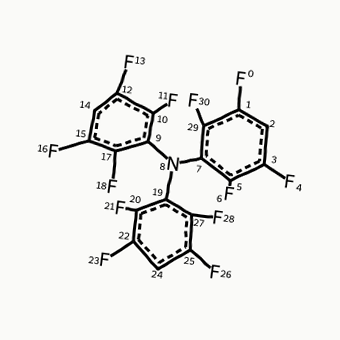 Fc1cc(F)c(F)c(N(c2c(F)c(F)cc(F)c2F)c2c(F)c(F)cc(F)c2F)c1F